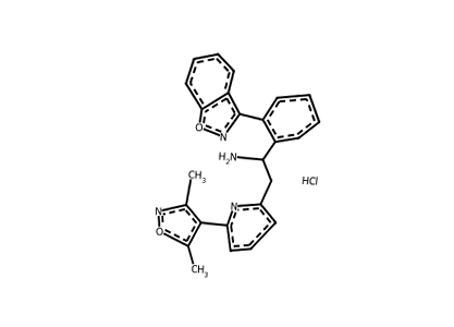 Cc1noc(C)c1-c1cccc(CC(N)c2ccccc2-c2noc3ccccc23)n1.Cl